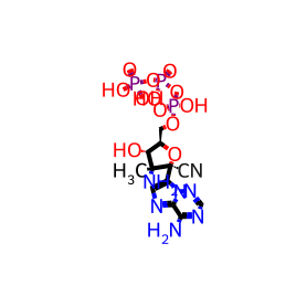 C[C@@]1(N)[C@H](O)[C@@H](COP(=O)(O)OP(=O)(O)OP(=O)(O)O)O[C@@]1(C#N)c1cnc2c(N)ncnn12